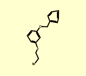 BrCCSc1cccc(OCc2ccccc2)c1